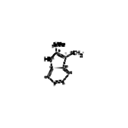 [CH2]c1c(SC)[nH]c2ccccc12